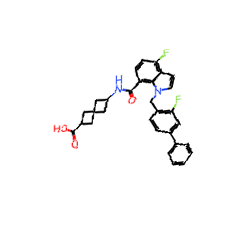 O=C(NC1CC2(C1)CC(C(=O)O)C2)c1ccc(F)c2ccn(Cc3ccc(-c4ccccc4)cc3F)c12